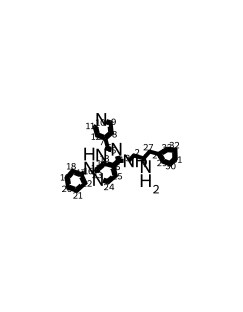 N[C@@H](CNc1nc(-c2ccncc2)nc2c(Nc3ccccc3)nccc12)Cc1ccccc1